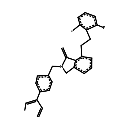 C=C/C(=C\C)c1ccc(CN2Cc3cccc(CCc4c(F)cccc4F)c3C2=C)cc1